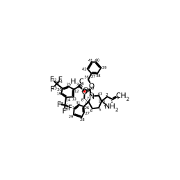 C=CC[C@]1(N)CC[C@@](CO[C@H](C)c2cc(C(F)(F)F)cc(C(F)(F)F)c2)(c2ccccc2)N(C(=O)OCc2ccccc2)C1